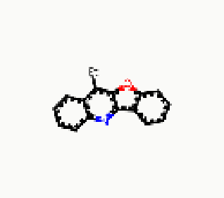 CCc1c2ccccc2nc2c1oc1ccccc12